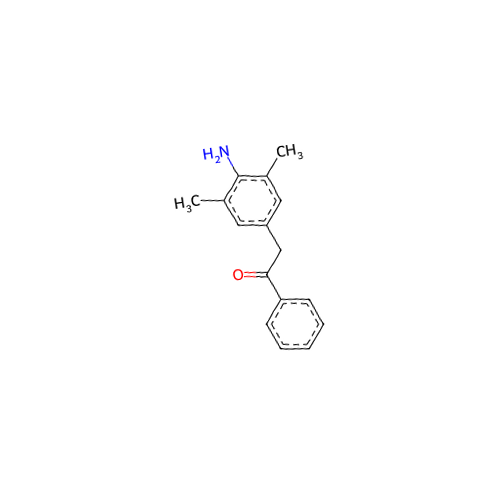 Cc1cc(CC(=O)c2ccccc2)cc(C)c1N